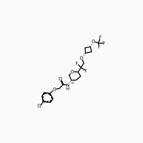 O=C(COc1ccc(Cl)cc1)N[C@H]1CCC(C(F)(F)CO[C@H]2C[C@@H](OC(F)(F)F)C2)OC1